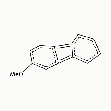 COc1ccc2c(c1)=c1ccccc1=2